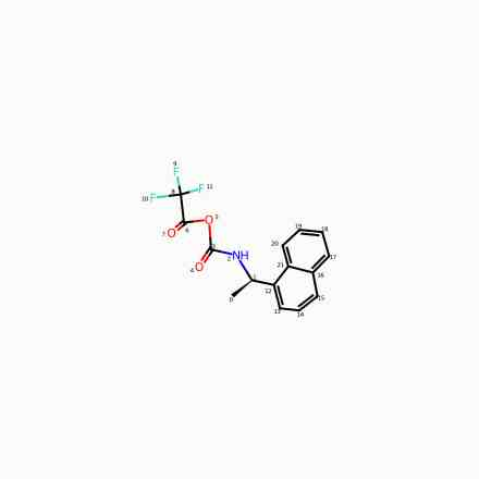 C[C@@H](NC(=O)OC(=O)C(F)(F)F)c1cccc2ccccc12